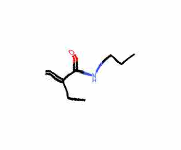 C=C(CC)C(=O)NCCC